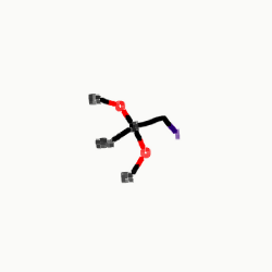 CCO[Si](CI)(OCC)C(C)(C)C